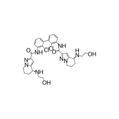 O=C(Nc1cccc(-c2cccc(NC(=O)c3cc4n(n3)CCC[C@@H]4NCCO)c2Cl)c1Cl)c1cc2n(n1)CCC[C@@H]2NCCO